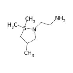 CC1CN(CCN)S(C)(C)C1